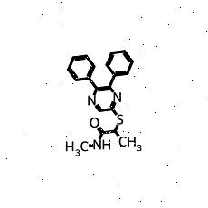 CNC(=O)C(C)Sc1cnc(-c2ccccc2)c(-c2ccccc2)n1